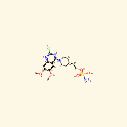 COc1cc2nc(Cl)nc(N3CCC(CCOS(N)(=O)=O)CC3)c2cc1OC